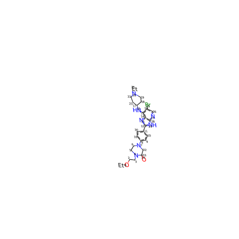 CCOCCN1CCN(c2ccc(-c3nc4c(NC5CCN(CC)CC5)c(Br)cnc4[nH]3)cc2)CC1=O